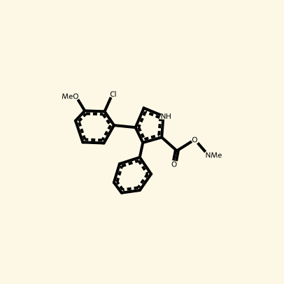 CNOC(=O)c1[nH]cc(-c2cccc(OC)c2Cl)c1-c1ccccc1